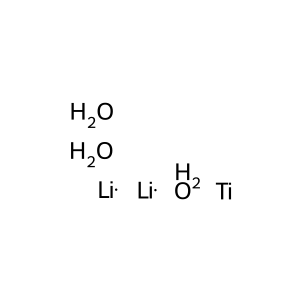 O.O.O.[Li].[Li].[Ti]